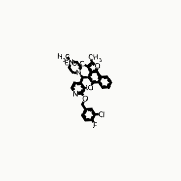 CCOC(=O)c1c(C)oc2c1c(C(c1ccnc(OCc3ccc(F)c(Cl)c3)c1)N1CCN(C)CC1)c(O)c1ccccc12